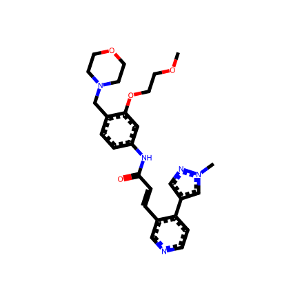 COCCOc1cc(NC(=O)C=Cc2cnccc2-c2cnn(C)c2)ccc1CN1CCOCC1